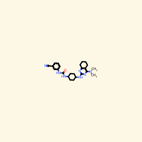 CN(C)c1nc(NC2CCC(NC(=O)Nc3cccc(C#N)c3)CC2)nc2c1CCCC2